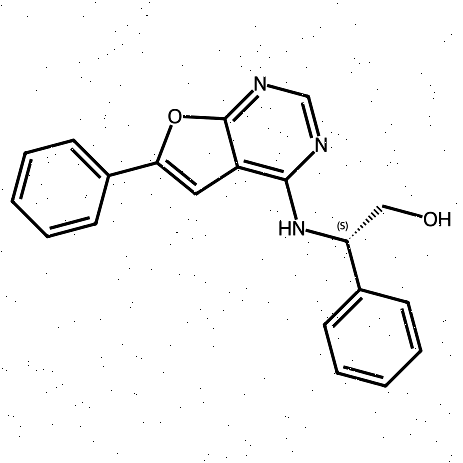 OC[C@@H](Nc1ncnc2oc(-c3ccccc3)cc12)c1ccccc1